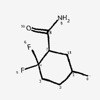 [CH2]C1CCC(F)(F)C(C(N)=O)C1